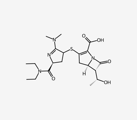 CCN(CC)C(=O)[C@@H]1CC(SC2=C(C(=O)O)N3C(=O)[C@H]([C@@H](C)O)[C@H]3C2)C(N(C)C)=N1